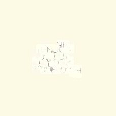 Nc1cc(CC(=O)O)cc(-c2ccccc2Br)c1N